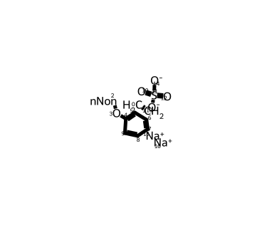 C=C.CCCCCCCCCOc1ccccc1.O=S(=O)([O-])[O-].[Na+].[Na+]